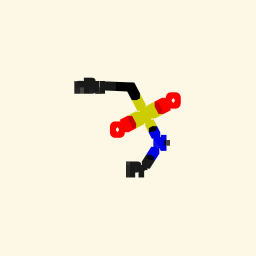 CCCCCS(=O)(=O)[N]C(C)C